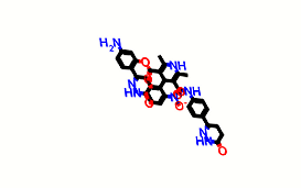 CC1=C(C(=O)Nc2ccc(C3=NNC(=O)CC3)cc2)C(c2ccccc2[N+](=O)[O-])C(C(=O)Oc2cc(N)ccc2C2=NNC(=O)CC2)=C(C)N1